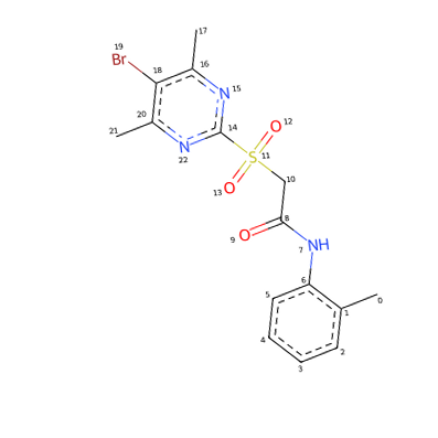 Cc1ccccc1NC(=O)CS(=O)(=O)c1nc(C)c(Br)c(C)n1